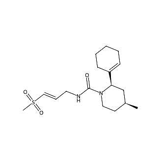 C[C@H]1CCN(C(=O)NC/C=C/S(C)(=O)=O)[C@@H](C2=CCCCC2)C1